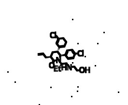 C=CC[C@H]1C[C@H](C2=CCCC(Cl)=C2)[C@@H](c2ccc(Cl)cc2)N([C@H](CC)CNCCO)C1=O